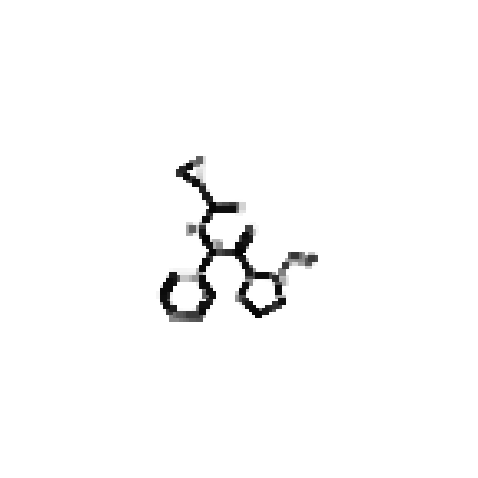 O=C(N[C@@H](C(=O)N1CCC[C@H]1C(=O)O)c1ccccc1)C1CC1